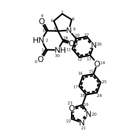 O=C1NC(=O)C2(CCCN2c2ccc(Oc3ccc(-c4nnco4)cc3)nc2)C(=O)N1